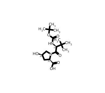 CC(C)(C)OC(=O)N[C@H](C(=O)N1C[C@H](O)C[C@@H]1C(=O)O)C(C)(C)C